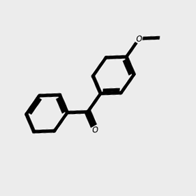 COC1=CC=C(C(=O)C2=CC=CCC2)CC1